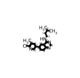 Cc1cc(-c2ccc3ncnc(NCCC(C)C)c3c2)cnc1Cl